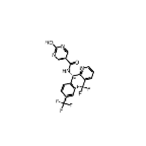 O=C(N[C@@H](c1ccc(C(F)(F)F)cc1)c1ncccc1C(F)(F)F)c1cnc(O)nc1